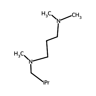 CC(C)CN(C)CCCN(C)C